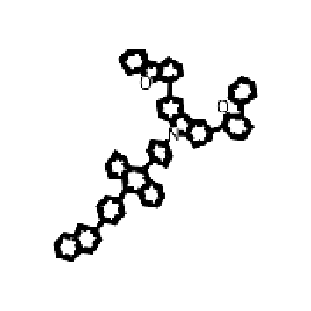 c1ccc2cc(-c3ccc(-c4c5ccccc5c(-c5ccc(-n6c7ccc(-c8cccc9c8oc8ccccc89)cc7c7cc(-c8cccc9c8oc8ccccc89)ccc76)cc5)c5ccccc45)cc3)ccc2c1